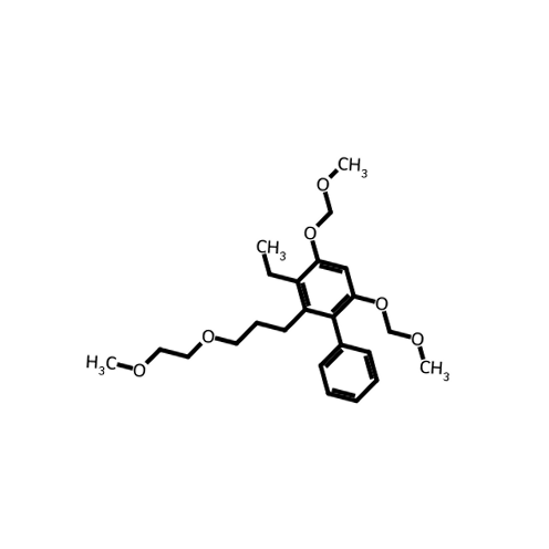 CCc1c(OCOC)cc(OCOC)c(-c2ccccc2)c1CCCOCCOC